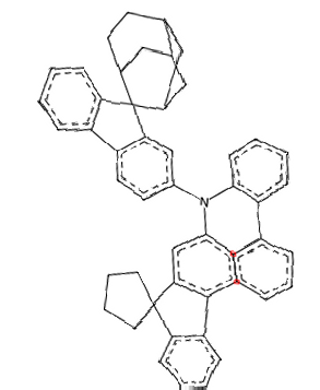 c1ccc(-c2ccccc2N(c2ccc3c(c2)C2(CCCC2)c2ccccc2-3)c2ccc3c(c2)C2(c4ccccc4-3)C3CCC4CC2CC4C3)cc1